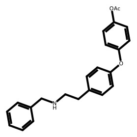 CC(=O)Oc1ccc(Oc2ccc(CCNCc3ccccc3)cc2)cc1